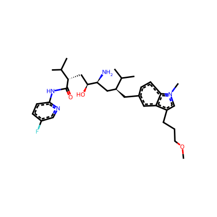 COCCCc1cn(C)c2ccc(C[C@@H](C[C@H](N)[C@@H](O)C[C@H](C(=O)Nc3ccc(F)cn3)C(C)C)C(C)C)cc12